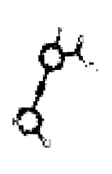 NC(=O)c1cc(C#Cc2cncc(Cl)c2)ccc1F